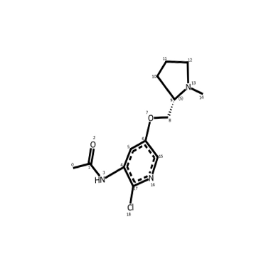 CC(=O)Nc1cc(OC[C@@H]2CCCN2C)cnc1Cl